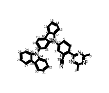 Cc1nc(C)nc(-c2ccc(-n3c4ccccc4c4ccc(-n5c6ccccc6c6ccccc65)cc43)cc2C#N)n1